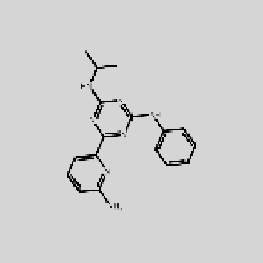 CC(C)Nc1nc(Nc2ccccc2)nc(-c2cccc(N)n2)n1